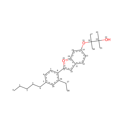 CCCCCc1ccc(-c2cc3ccc(OC(C)(C)C(C)(C)O)cc3o2)c(CC)c1